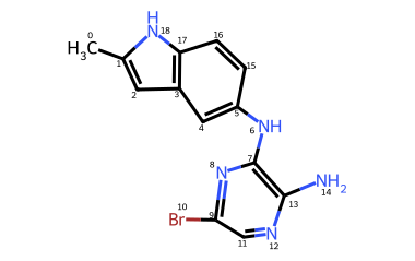 Cc1cc2cc(Nc3nc(Br)cnc3N)ccc2[nH]1